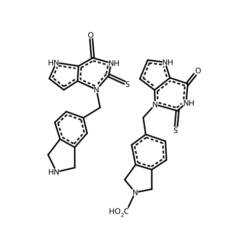 O=C(O)N1Cc2ccc(Cn3c(=S)[nH]c(=O)c4[nH]ccc43)cc2C1.O=c1[nH]c(=S)n(Cc2ccc3c(c2)CNC3)c2cc[nH]c12